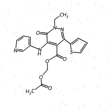 CCn1nc(-c2cccs2)c(C(=O)OCOC(C)=O)c(Nc2cccnc2)c1=O